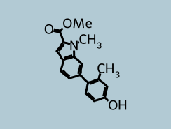 COC(=O)c1cc2ccc(-c3ccc(O)cc3C)cc2n1C